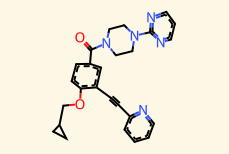 O=C(c1ccc(OCC2CC2)c(C#Cc2ccccn2)c1)N1CCN(c2ncccn2)CC1